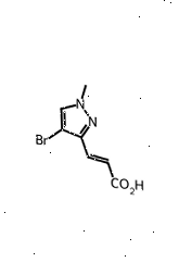 Cn1cc(Br)c(C=CC(=O)O)n1